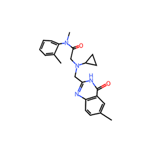 Cc1ccc2nc(CN(CC(=O)N(C)c3ccccc3C)C3CC3)[nH]c(=O)c2c1